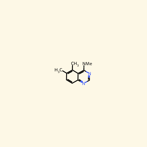 CNc1ncnc2ccc(C)c(C)c12